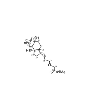 CCCC(C)(C)C1(S)CCC2(C)C(OCCOCC(C)NC)CCC2(S)C1C